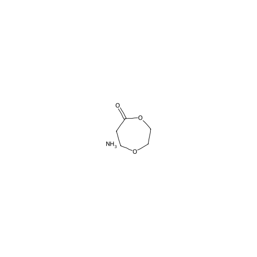 N.O=C1CCOCCO1